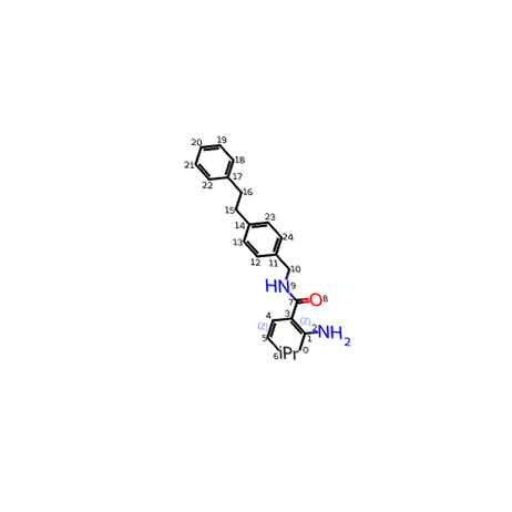 C/C(N)=C(\C=C/C(C)C)C(=O)NCc1ccc(CCc2ccccc2)cc1